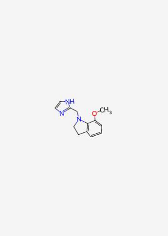 COc1cccc2c1N(Cc1ncc[nH]1)CC2